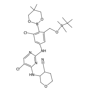 CC1(C)COB(c2c(Cl)cc(Nc3ncc(Cl)c(NC4COCCC4C#N)n3)cc2CO[Si](C)(C)C(C)(C)C)OC1